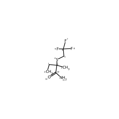 CCC(C)(SCC(F)(F)F)C(N)=O